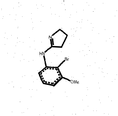 COc1cccc(NC2=NCCC2)c1Br